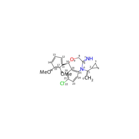 C=C(C1CC1)N1C(=N)CO[C@H](c2cccc(OC)c2OC)c2cc(Cl)ccc21